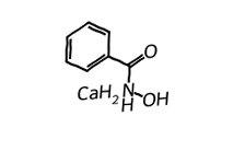 O=C(NO)c1ccccc1.[CaH2]